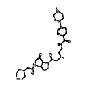 CC(CCNC(=O)c1ccc(N2CCN(C)CC2)cc1)CC(=O)N1CCC2C1C(=O)CN2C(=O)CC1CCCCC1